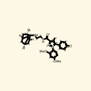 COc1ccc(-n2nc(C(=O)NCCNC3[C@H]4C[C@@H]5C[C@@H](C[C@H]3C5)C4)c(C)c2-c2ccc(Cl)cc2)c(OC)c1